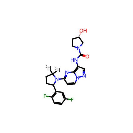 [2H]C1([2H])CCC(c2cc(F)ccc2F)N1c1ccn2ncc(NC(=O)N3CC[C@H](O)C3)c2n1